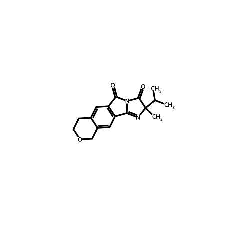 CC(C)C1(C)N=C2c3cc4c(cc3C(=O)N2C1=O)CCOC4